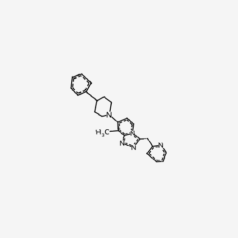 Cc1c(N2CCC(c3ccccc3)CC2)ccn2c(Cc3ccccn3)nnc12